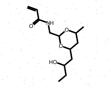 C=CC(=O)NCC1OC(C)CC(CC(O)CC)O1